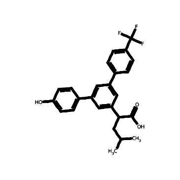 CC(C)CC(C(=O)O)c1cc(-c2ccc(O)cc2)cc(-c2ccc(C(F)(F)F)cc2)c1